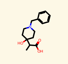 CC(C(=O)O)C1(O)CCN(Cc2ccccc2)CC1